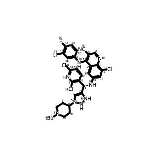 CC(C)(C)N1CCC(N2C=C([C@@H](Nc3cc(Cl)c4ncc(C#N)c(Nc5ccc(F)c(Cl)c5)c4c3)c3ccc(Cl)nc3Cl)NN2)CC1